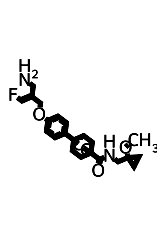 COC1(CNC(=O)C23CCC(c4ccc(OCC(=CF)CN)cc4)(CC2)CC3)CC1